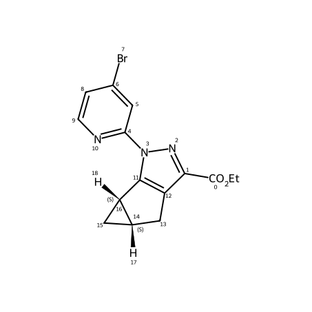 CCOC(=O)c1nn(-c2cc(Br)ccn2)c2c1C[C@@H]1C[C@H]21